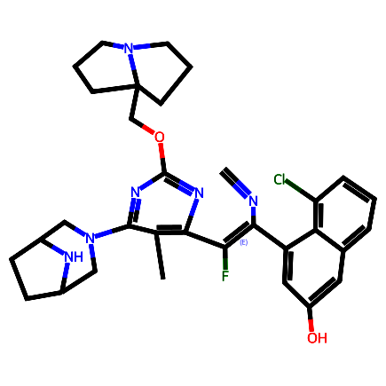 C=N/C(=C(/F)c1nc(OCC23CCCN2CCC3)nc(N2CC3CCC(C2)N3)c1C)c1cc(O)cc2cccc(Cl)c12